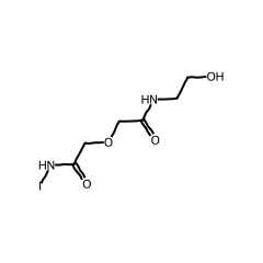 O=C(COCC(=O)NCCO)NI